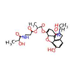 C[C@H](O)C(=O)NCCC(=O)O[C@@H](C)C(=O)OC1=CC[C@@]2(O)[C@H]3Cc4ccc(O)c5c4C2(CCN3C)C1O5